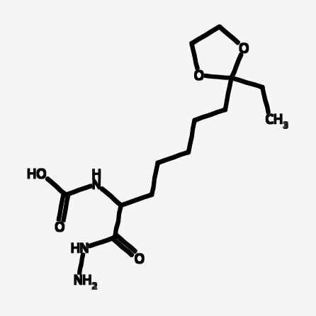 CCC1(CCCCCC(NC(=O)O)C(=O)NN)OCCO1